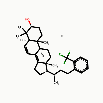 C[C@H](CCc1ccccc1C(F)(F)F)[C@H]1CCC2=C3C=C[C@H]4C(C)(C)[C@@H](O)CC[C@]4(C)[C@H]3CC[C@@]21C.[H+]